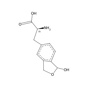 N[C@@H](Cc1ccc2c(c1)COC2O)C(=O)O